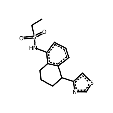 CCS(=O)(=O)Nc1cccc2c1CCCC2c1cscn1